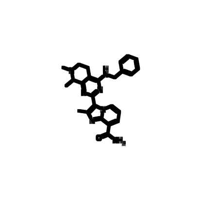 Cc1nc2c(C(N)=O)cccn2c1-c1nc(NCc2ccccc2)c2c(n1)C(C)N(C)CC2